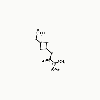 CON(C)C(=O)CC1CC(CC(=O)O)C1